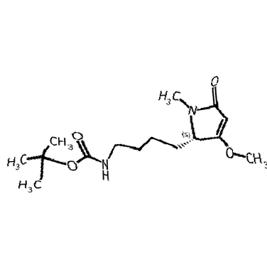 COC1=CC(=O)N(C)[C@H]1CCCCNC(=O)OC(C)(C)C